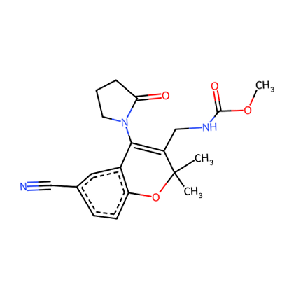 COC(=O)NCC1=C(N2CCCC2=O)c2cc(C#N)ccc2OC1(C)C